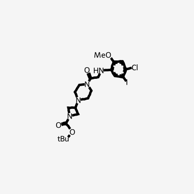 COc1cc(Cl)c(I)cc1NCC(=O)N1CCN(C2CN(C(=O)OC(C)(C)C)C2)CC1